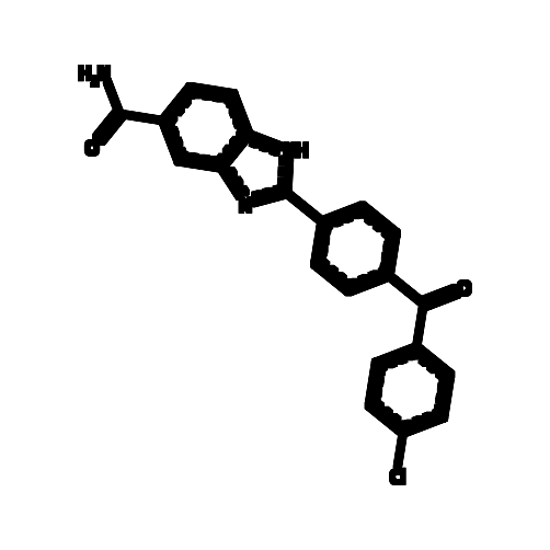 NC(=O)c1ccc2[nH]c(-c3ccc(C(=O)c4ccc(Cl)cc4)cc3)nc2c1